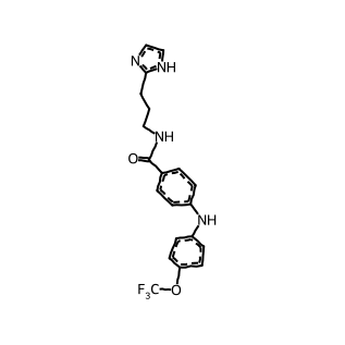 O=C(NCCCc1ncc[nH]1)c1ccc(Nc2ccc(OC(F)(F)F)cc2)cc1